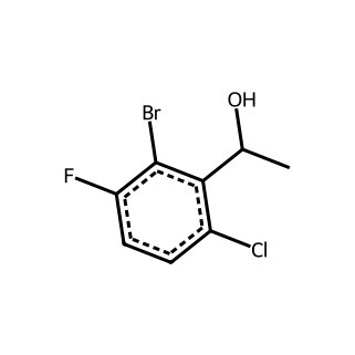 CC(O)c1c(Cl)ccc(F)c1Br